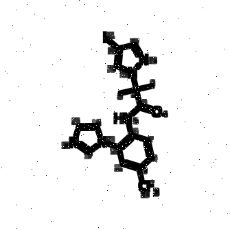 CC(C)(C(=O)Nc1ccc(C(F)(F)F)cc1-n1ccnc1)n1cc(I)cn1